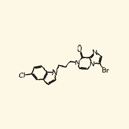 O=c1c2ncc(Br)n2ccn1CCCn1ccc2cc(Cl)ccc21